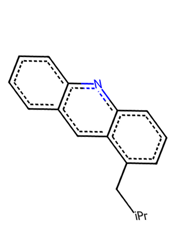 CC(C)Cc1cccc2nc3ccccc3cc12